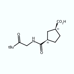 CC(C)(C)C(=O)CNC(=O)[C@@H]1CC[C@H](C(=O)O)C1